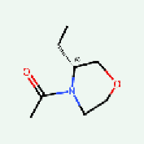 CC[C@@H]1COCCN1C(C)=O